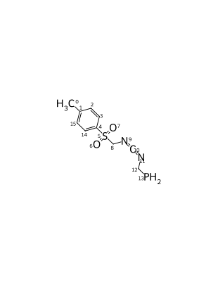 Cc1ccc(S(=O)(=O)CN=C=NCP)cc1